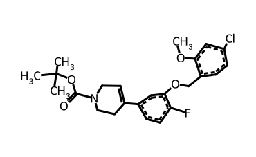 COc1cc(Cl)ccc1COc1cc(C2=CCN(C(=O)OC(C)(C)C)CC2)ccc1F